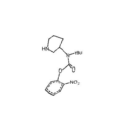 CC(C)(C)N(C(=O)Oc1ccccc1[N+](=O)[O-])C1CCCNC1